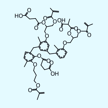 C=C(C)C(=O)OCCCOc1c(C)ccc(Cc2cc(Cc3cccc(OCC(COC(=O)C(=C)C)OC(=O)C(C)C(=O)O)c3C)cc(OCC(COC(=O)C(=C)C)OC(=O)CCC(=O)O)c2C)c1OC(=O)CCC(=O)O